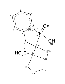 CC(C)C(Cc1ccccc1)(C1(C(=O)O)CCCC1)P(=O)(O)O